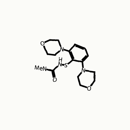 CNC(=O)NSc1c(N2CCOCC2)cccc1N1CCOCC1